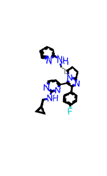 Fc1ccc(-c2nc3n(c2-c2ccnc(NCC4CC4)n2)[C@H](CNc2ccccn2)CC3)cc1